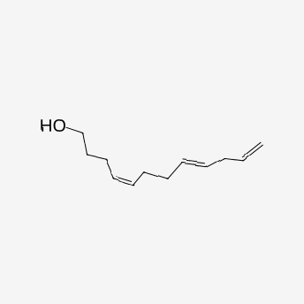 C=CCC=CCC/C=C\CCCO